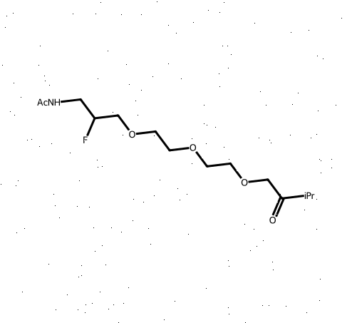 CC(=O)NCC(F)COCCOCCOCC(=O)C(C)C